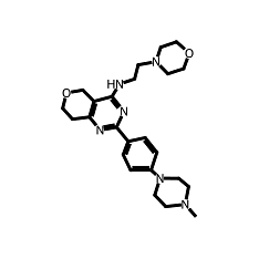 CN1CCN(c2ccc(-c3nc4c(c(NCCN5CCOCC5)n3)COCC4)cc2)CC1